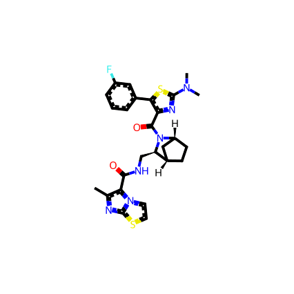 Cc1nc2sccn2c1C(=O)NC[C@@H]1[C@H]2CC[C@H](C2)N1C(=O)c1nc(N(C)C)sc1-c1cccc(F)c1